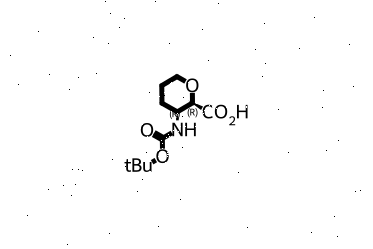 CC(C)(C)OC(=O)N[C@@H]1CCCO[C@H]1C(=O)O